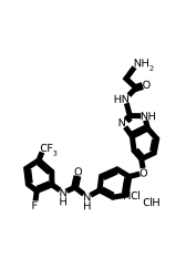 Cl.Cl.NCC(=O)Nc1nc2cc(Oc3ccc(NC(=O)Nc4cc(C(F)(F)F)ccc4F)cc3)ccc2[nH]1